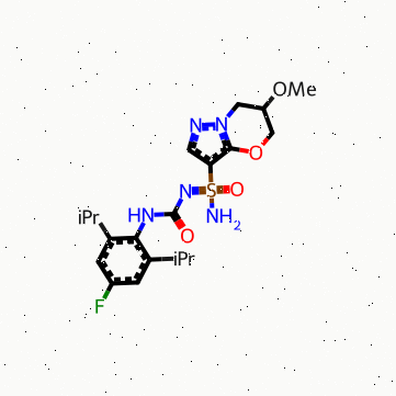 COC1COc2c(S(N)(=O)=NC(=O)Nc3c(C(C)C)cc(F)cc3C(C)C)cnn2C1